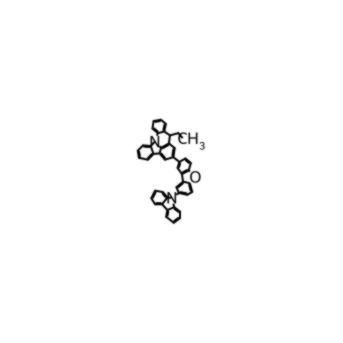 CCC1c2ccccc2-n2c3ccccc3c3cc(-c4ccc5oc6ccc(-n7c8ccccc8c8ccccc87)cc6c5c4)cc1c32